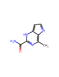 Cc1nc(C(N)=O)[nH]c2ccnc1-2